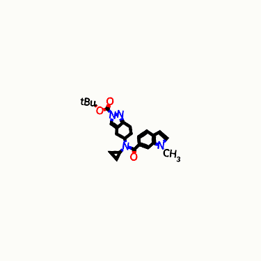 Cn1ccc2ccc(C(=O)N(C3CC3)C3CCc4nn(C(=O)OC(C)(C)C)cc4C3)cc21